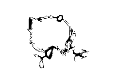 O=C(Cl)c1ccc2cc1OCCCCCCCCOc1ccc(cc1)CNc1nc(nc(OCC(F)(F)F)n1)N2